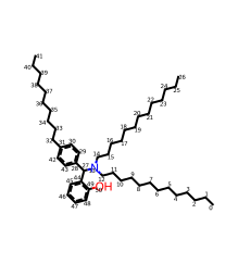 CCCCCCCCCCCCCN(CCCCCCCCCCCCC)C(c1ccc(CCCCCCCCCC)cc1)c1ccccc1O